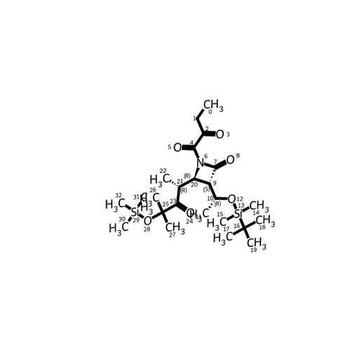 CCC(=O)C(=O)N1C(=O)[C@H]([C@@H](C)O[Si](C)(C)C(C)(C)C)[C@H]1[C@@H](C)C(=O)C(C)(C)O[Si](C)(C)C